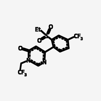 CCS(=O)(=O)c1cc(C(F)(F)F)ccc1-c1cc(=O)n(CC(F)(F)F)cn1